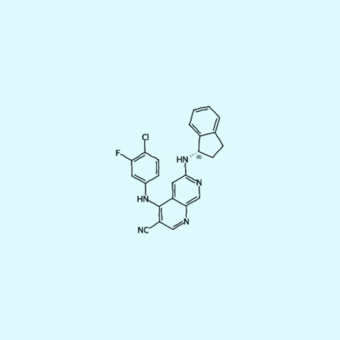 N#Cc1cnc2cnc(N[C@H]3CCc4ccccc43)cc2c1Nc1ccc(Cl)c(F)c1